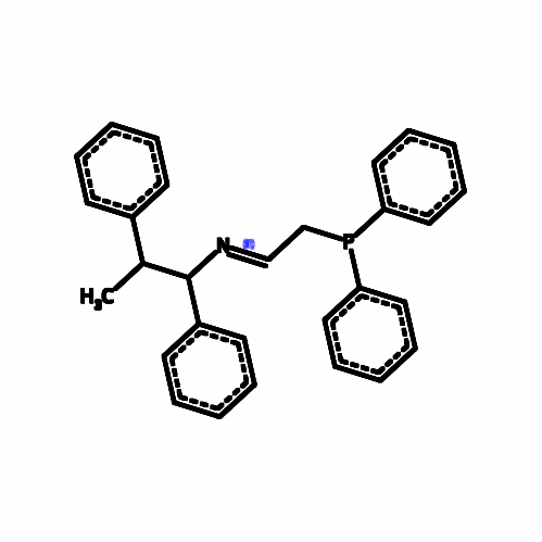 CC(c1ccccc1)C(/N=C/CP(c1ccccc1)c1ccccc1)c1ccccc1